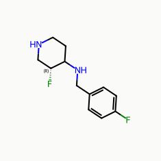 Fc1ccc(CNC2CCNC[C@H]2F)cc1